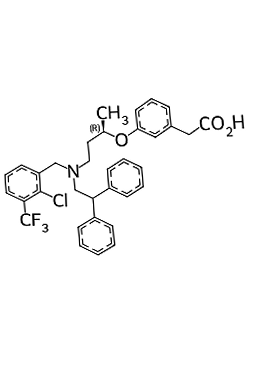 C[C@H](CCN(Cc1cccc(C(F)(F)F)c1Cl)CC(c1ccccc1)c1ccccc1)Oc1cccc(CC(=O)O)c1